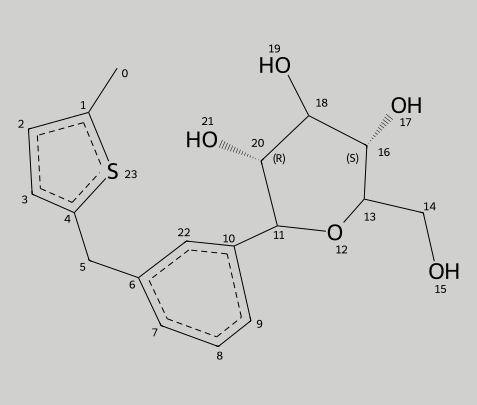 Cc1ccc(Cc2cccc(C3OC(CO)[C@@H](O)C(O)[C@H]3O)c2)s1